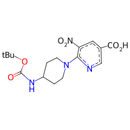 CC(C)(C)OC(=O)NC1CCN(c2ncc(C(=O)O)cc2[N+](=O)[O-])CC1